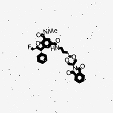 CNC(=O)c1cc(C(=O)NCCC[C@H]2OC[C@@H](N3C(=O)c4ccccc4C3=O)CO2)cc2c1O[C@H](CF)[C@H]2c1ccccc1